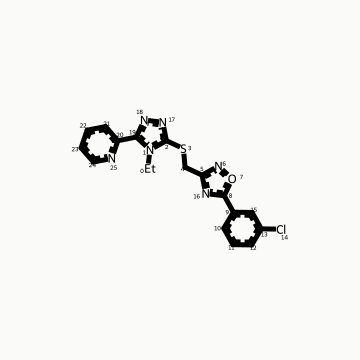 CCn1c(SCc2noc(-c3cccc(Cl)c3)n2)nnc1-c1ccccn1